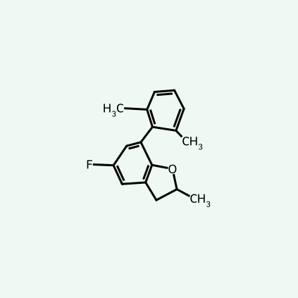 Cc1cccc(C)c1-c1cc(F)cc2c1OC(C)C2